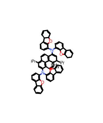 CC(C)c1cc(N(c2cccc3c2oc2ccccc23)c2cccc3c2oc2ccccc23)c2c3c4c(ccc13)C(N(c1cccc3c1OC1C=CC=CC31)c1cccc3c5c(oc13)CCC=C5)=CC(C(C)C)C4(C)C=C2